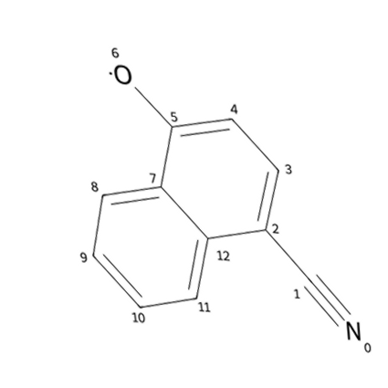 N#Cc1ccc([O])c2ccccc12